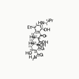 CCc1cc(NCC(C)C)c(O)c2c1C[C@H]1C[C@H]3CC(O)=C(C(N)=O)C(=O)[C@@]3(O)C(O)=C1C2=O